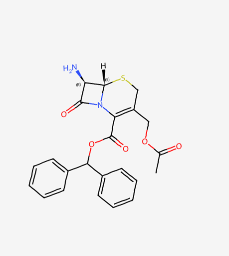 CC(=O)OCC1=C(C(=O)OC(c2ccccc2)c2ccccc2)N2C(=O)[C@@H](N)[C@@H]2SC1